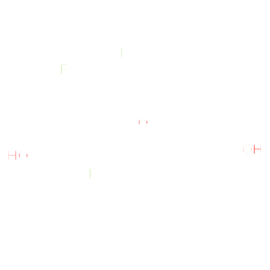 OCCC(OC(CCO)=C(F)F)=C(F)F